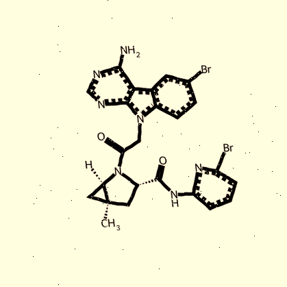 C[C@@]12C[C@@H](C(=O)Nc3cccc(Br)n3)N(C(=O)Cn3c4ccc(Br)cc4c4c(N)ncnc43)[C@@H]1C2